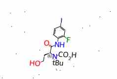 CC(C)(C)N(C(=O)O)[C@@H](CCO)C(=O)Nc1ccc(I)cc1F